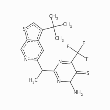 CC(C1=NC(N)C(=S)C(C(F)(F)F)=N1)c1cc2c(C(C)(C)C)csc2cn1